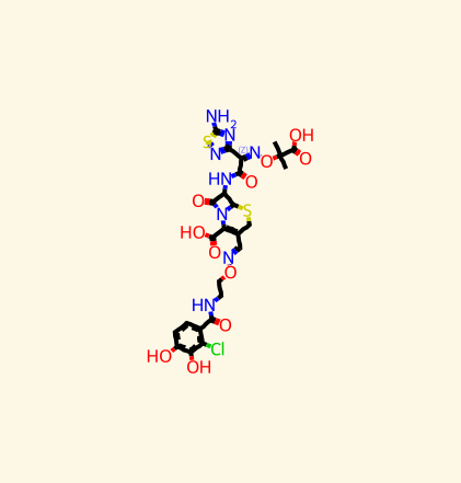 CC(C)(O/N=C(\C(=O)NC1C(=O)N2C(C(=O)O)=C(C=NOCCNC(=O)c3ccc(O)c(O)c3Cl)CSC12)c1nsc(N)n1)C(=O)O